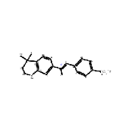 CCOC(=O)c1ccc(/C=C(\C)c2ccc3c(c2)SCCC3(C)C)cc1